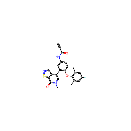 C#CC(=O)Nc1ccc(Oc2c(C)cc(F)cc2C)c(-c2cn(C)c(=O)c3sncc23)c1